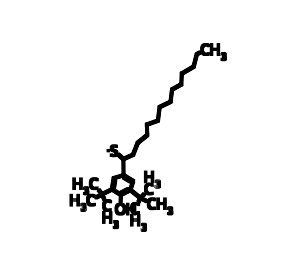 CCCCCCCCCCCCCC([S])c1cc(C(C)(C)C)c(O)c(C(C)(C)C)c1